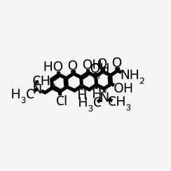 CN(C)Cc1cc(O)c2c(c1Cl)C[C@H]1C[C@H]3[C@H](N(C)C)C(O)=C(C(N)=O)C(=O)[C@@]3(O)C(O)=C1C2=O